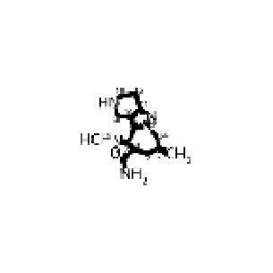 C=C1Cc2c(noc2N)-c2c3c(nn2C1)CCNC3.Cl